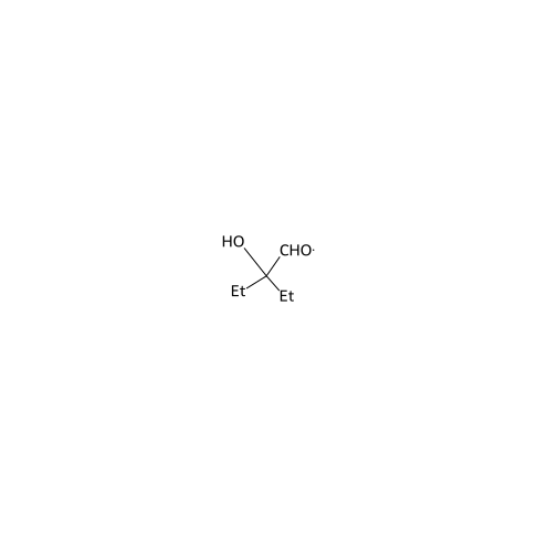 CCC(O)([C]=O)CC